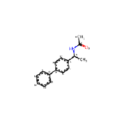 CC(=O)NC(C)c1ccc(-c2ccccc2)cc1